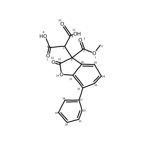 COC(=O)C1(C(C(=O)O)C(=O)O)C(=O)Oc2c(-c3ccccc3)cccc21